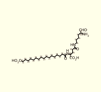 N[C@H]([C]=O)CCCCNC(=O)CC[C@H](NC(=O)CCCCCCCCCCCCCCCCC(=O)O)C(=O)O